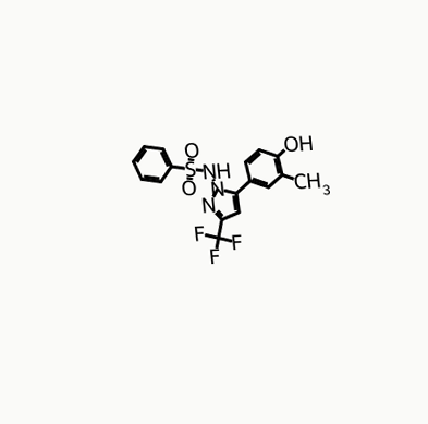 Cc1cc(-c2cc(C(F)(F)F)nn2NS(=O)(=O)c2ccccc2)ccc1O